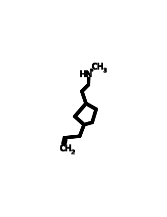 C=CCC1CCC(CCNC)C1